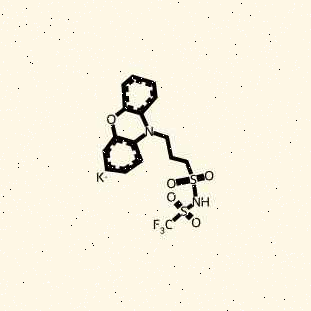 O=S(=O)(CCCN1c2ccccc2Oc2ccccc21)NS(=O)(=O)C(F)(F)F.[K]